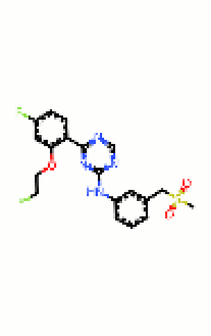 CS(=O)(=O)Cc1cccc(Nc2ncnc(-c3ccc(F)cc3OCCF)n2)c1